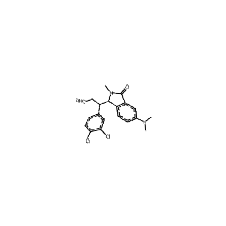 CN(C)c1ccc2c(c1)C(=O)N(C)C2C(CC=O)c1ccc(Cl)c(Cl)c1